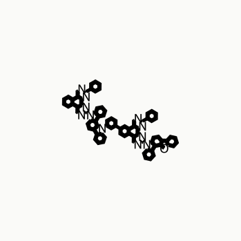 c1ccc(-c2ncc3c4cc(-c5cccc(-n6c7ccccc7c7ccc8c(c9ccccc9n8-c8ncc9c%10ccccc%10c%10cnc(-c%11ccccc%11)nc%10c9n8)c76)c5)ccc4c4cnc(-n5c6ccccc6c6c7oc8ccccc8c7ccc65)nc4c3n2)cc1